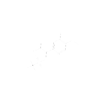 COc1cnc(C(OS(=O)(=O)C(F)(F)F)C(F)F)cc1Cl